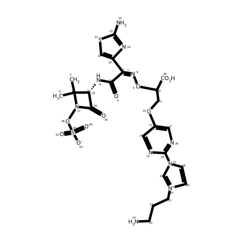 CC1(C)[C@H](NC(=O)/C(=N\OC(COc2cnc(-n3cc[n+](CCCN)c3)nc2)C(=O)O)c2csc(N)n2)C(=O)N1OS(=O)(=O)[O-]